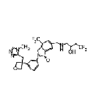 Cn1cnnc1CC1(c2cccc(N3Cc4c(cc(CNCC(O)CC(F)(F)F)cc4C(F)(F)F)C3=O)c2)COC1